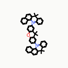 CC1(C)c2cc(N3c4ccccc4C(C)(C)c4ccc5ccccc5c43)ccc2Oc2ccc(N3c4ccccc4C(C)(C)c4ccc5ccccc5c43)cc21